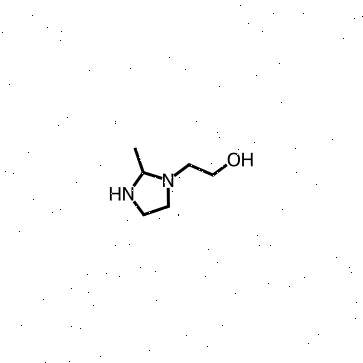 CC1NCCN1CCO